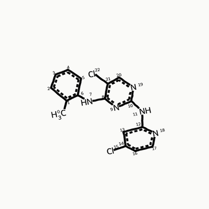 Cc1ccccc1Nc1nc(Nc2cc(Cl)ccn2)ncc1Cl